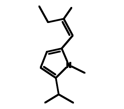 CC/C(C)=C\c1ccc(C(C)C)n1C